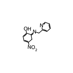 O=[N+]([O-])C1=CC=C(O)C(=NCc2ccccn2)C1